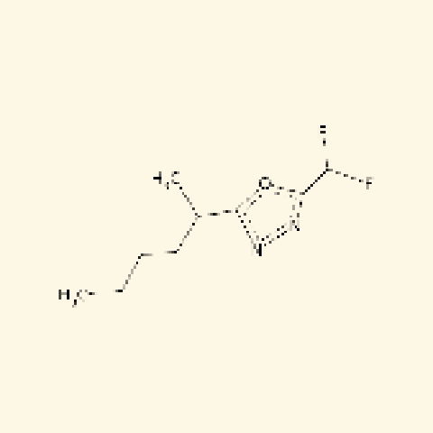 CCCCC(C)c1nnc(C(F)F)o1